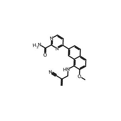 C=C(C#N)CNc1c(OC)ccc2ccc(-c3ccnc(C(N)=O)n3)cc12